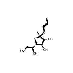 CC=CO[C@@]1(C)O[C@H](C(O)CO)[C@H](O)[C@H]1O